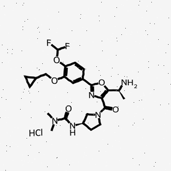 C[C@H](N)c1oc(-c2ccc(OC(F)F)c(OCC3CC3)c2)nc1C(=O)N1CC[C@@H](NC(=O)N(C)C)C1.Cl